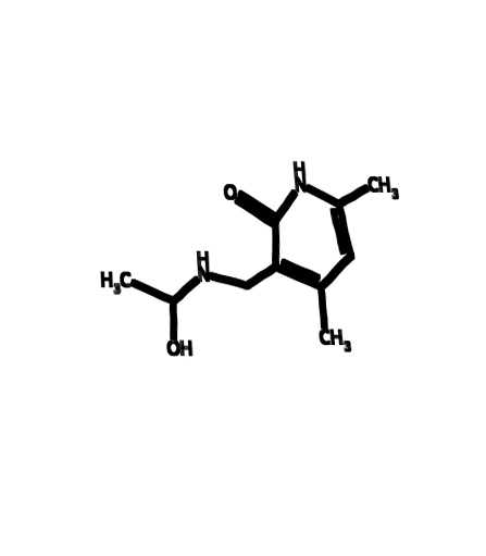 Cc1cc(C)c(CNC(C)O)c(=O)[nH]1